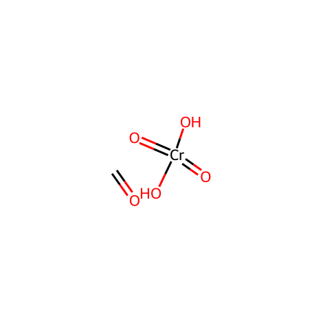 C=O.[O]=[Cr](=[O])([OH])[OH]